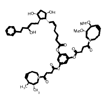 CO[C@H]1C#CCCN(C(=O)CCC(=O)Oc2cc(OC(=O)CCC/C=C\C[C@@H]3[C@@H](CC[C@@H](O)CCc4ccccc4)[C@H](O)C[C@@H]3O)cc(OC(=O)CCC(=O)N3CCC#C[C@H](C)[C@@H](C)C3)c2)C[C@@H]1OC